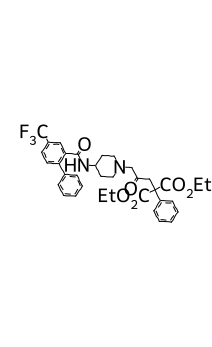 CCOC(=O)C(CC(=O)CN1CCC(NC(=O)c2cc(C(F)(F)F)ccc2-c2ccccc2)CC1)(C(=O)OCC)c1ccccc1